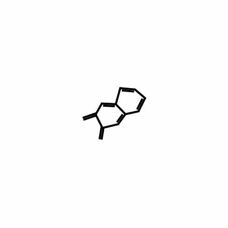 C=c1cc2ccccc2cc1=C